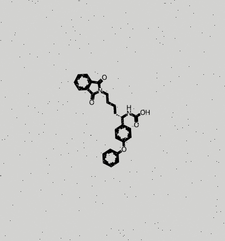 O=C(O)N[C@@H](CCCCN1C(=O)c2ccccc2C1=O)c1ccc(Oc2ccccc2)cc1